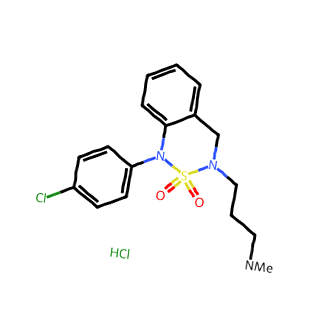 CNCCCN1Cc2ccccc2N(c2ccc(Cl)cc2)S1(=O)=O.Cl